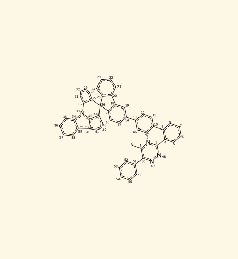 Cc1nc(-c2ccccc2-c2ccc(-c3ccc4c(c3)-c3ccccc3C43c4ccccc4-n4c5ccccc5c5cccc3c54)cc2)nnc1-c1ccccc1